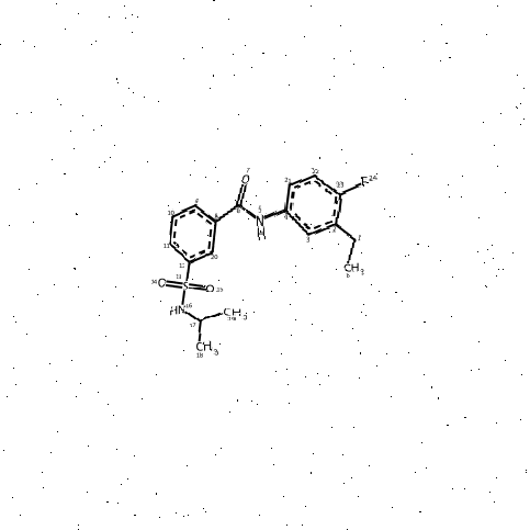 CCc1cc(NC(=O)c2cccc(S(=O)(=O)NC(C)C)c2)ccc1F